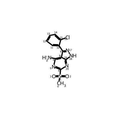 CS(=O)(=O)c1nc(N)c2c(-c3ccccc3Cl)n[nH]c2n1